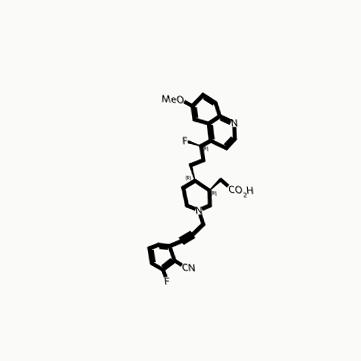 COc1ccc2nccc([C@H](F)CC[C@@H]3CCN(CC#Cc4cccc(F)c4C#N)C[C@@H]3CC(=O)O)c2c1